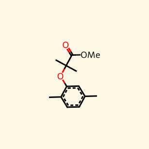 COC(=O)C(C)(C)Oc1cc(C)ccc1C